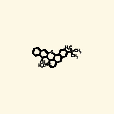 Cc1c2c(cc3ccccc13)Sc1c3ccc([Si](C)(C)C)cc3cc3cc[n+](C)c-2c13